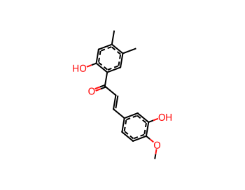 COc1ccc(C=CC(=O)c2cc(C)c(C)cc2O)cc1O